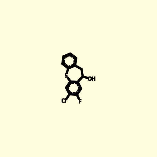 OC1Cc2ccccc2Sc2cc(Cl)c(F)cc21